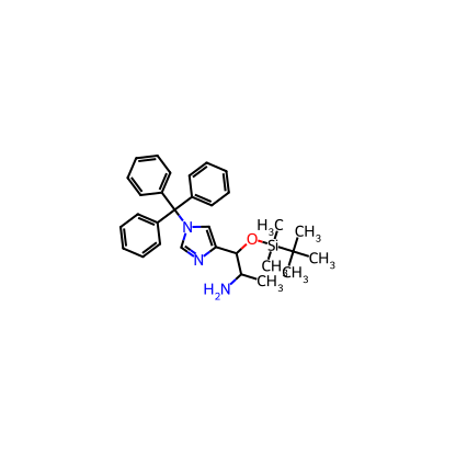 CC(N)C(O[Si](C)(C)C(C)(C)C)c1cn(C(c2ccccc2)(c2ccccc2)c2ccccc2)cn1